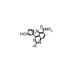 CSc1nc(-c2cccc(O)c2)c2c(N)c(C(N)=O)ccc2n1